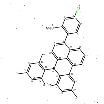 COc1cc(Cl)ccc1-c1ccc2c3c(cccc13)-c1cc(C)cc(C)c1B2c1c(C)cc(C)cc1C